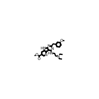 CCN(CC)CCNc1nc(Cc2cccc(OC)c2)nc2[nH]c3cc(C(=O)OC)cnc3c12